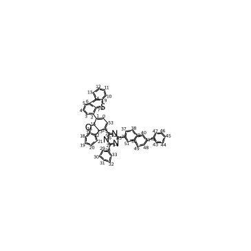 C1=C(c2cccc3c2sc2ccccc23)C2Oc3ccccc3C2C(c2nc(-c3ccccc3)nc(-c3ccc4cc(-c5ccccc5)ccc4c3)n2)=C1